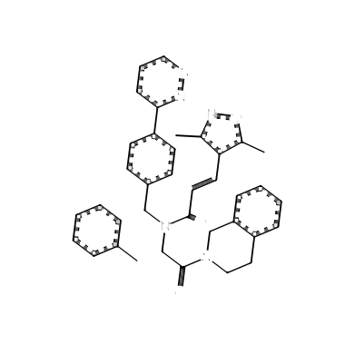 Cc1noc(C)c1C=CC(=O)N(Cc1ccc(-c2cccnn2)cc1)[C@@H](Cc1ccccc1)C(=O)N1CCc2ccccc2C1